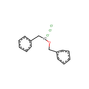 [Cl-].[Cl-].[Cl-].c1ccc(C[O][V+3][CH2]c2ccccc2)cc1